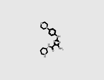 Nc1nc(Nc2ccc(N3CCOCC3)cc2)sc1C(=O)N[C@H]1CCCNC1